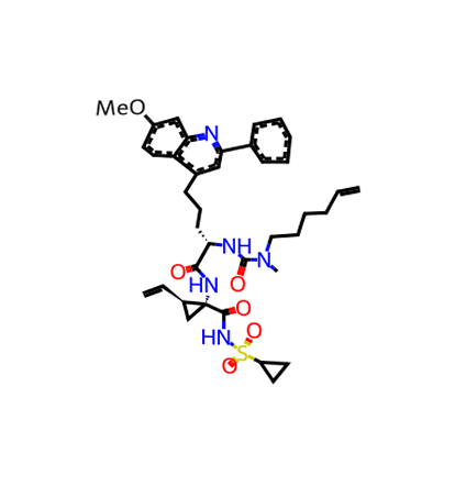 C=CCCCCN(C)C(=O)N[C@@H](CCCc1cc(-c2ccccc2)nc2cc(OC)ccc12)C(=O)N[C@]1(C(=O)NS(=O)(=O)C2CC2)C[C@H]1C=C